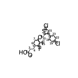 O=C(O)CCc1ccc(OCc2sc(Cl)cc2-c2ccc(Cl)cc2)c(F)c1F